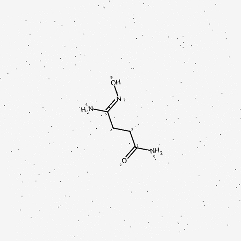 NC(=O)CCC(N)=NO